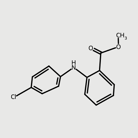 COC(=O)c1ccccc1Nc1ccc(Cl)cc1